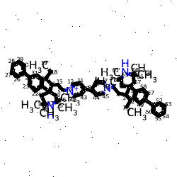 CCCC(CC[n+]1ccc(-c2cc[n+](CCC(CCC)C3(c4ccc(-c5ccccc5)cc4)CC(C)(C)NC(C)(C)C3)cc2)cc1)C1(c2ccc(-c3ccccc3)cc2)CC(C)(C)NC(C)(C)C1